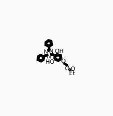 CCC(=O)OCCOc1cc(O)c(-c2nc(-c3ccccc3)nc(-c3ccccc3)n2)c(O)c1